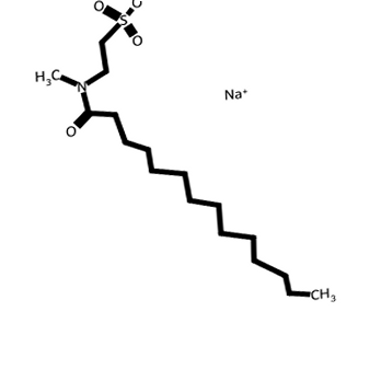 CCCCCCCCCCCCCC(=O)N(C)CCS(=O)(=O)[O-].[Na+]